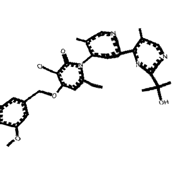 COc1cccc(COc2cc(C)n(-c3cc(-c4nc(C(C)(C)O)ncc4C)ncc3C)c(=O)c2Cl)c1